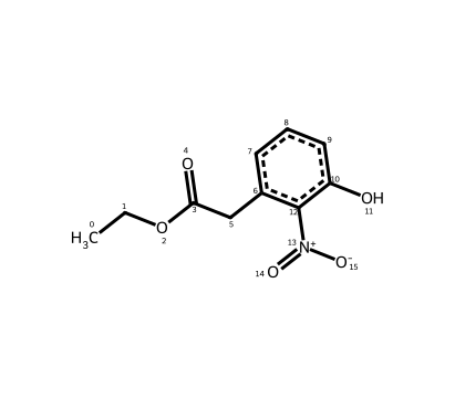 CCOC(=O)Cc1cccc(O)c1[N+](=O)[O-]